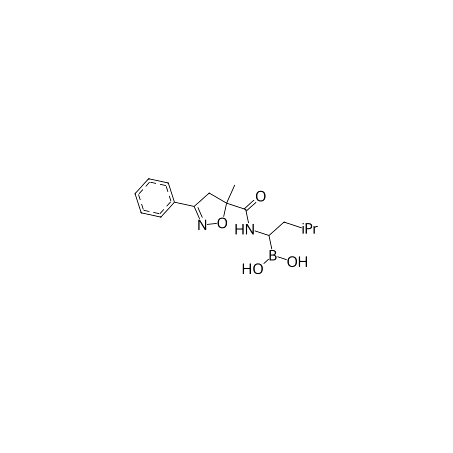 CC(C)CC(NC(=O)C1(C)CC(c2ccccc2)=NO1)B(O)O